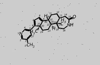 Cc1cncc(C2=CC=C3[C@@H]4CCC5CC(=O)NCC[C@]5(C)[C@H]4CC[C@]23C)c1